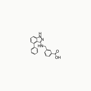 O=C(O)c1cccc(CNc2n[nH]c3cccc(-c4ccccc4)c23)c1